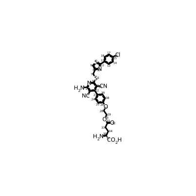 N#Cc1c(N)nc(SCc2csc(-c3ccc(Cl)cc3)n2)c(C#N)c1-c1ccc(OCCOC(=O)CC[C@H](N)C(=O)O)cc1